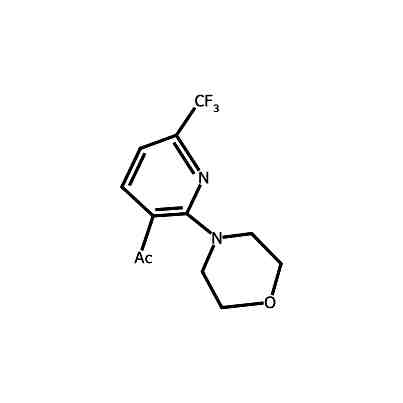 CC(=O)c1ccc(C(F)(F)F)nc1N1CCOCC1